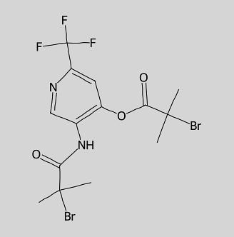 CC(C)(Br)C(=O)Nc1cnc(C(F)(F)F)cc1OC(=O)C(C)(C)Br